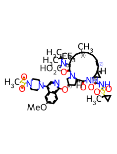 CC[C@@H]1C[C@H](C)CC/C=C\[C@@H]2C[C@@]2(C(=O)NS(=O)(=O)C2(C)CC2)NC(=O)[C@@H]2C[C@@H](Oc3ncc(N4CCN(S(C)(=O)=O)CC4)c4cc(OC)ccc34)CN2C(=O)[C@H]1N(C(=O)O)C(C)(C)C(F)(F)F